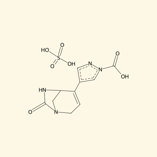 O=C1NC2CN1CC=C2c1cnn(C(=O)O)c1.O=S(=O)(O)O